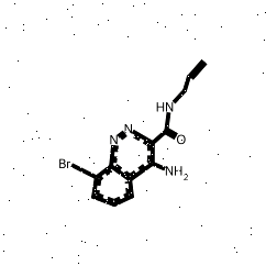 C=CCNC(=O)c1nnc2c(Br)cccc2c1N